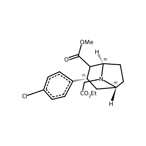 CCOC(=O)CN1[C@@H]2CC[C@@H]1C(C(=O)OC)[C@@H](c1ccc(Cl)cc1)C2